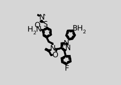 Bc1ccc(-n2cc(C3OCC(=C)N3CCc3ccc(SC(=O)N(C)C)c(N)c3)c(-c3ccc(F)cc3)n2)cc1